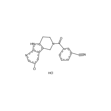 Cl.N#Cc1cccc(C(=O)N2CCc3[nH]c4ncc(Cl)cc4c3C2)c1